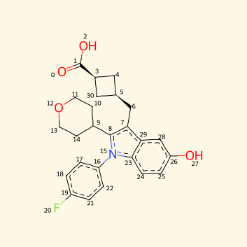 O=C(O)[C@H]1C[C@@H](Cc2c(C3CCOCC3)n(-c3ccc(F)cc3)c3ccc(O)cc23)C1